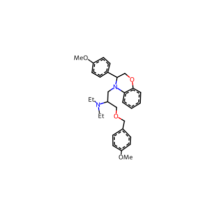 CCN(CC)C(COCc1ccc(OC)cc1)CN1c2ccccc2OCC1c1ccc(OC)cc1